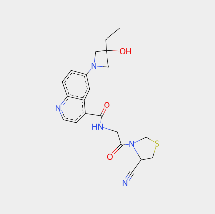 CCC1(O)CN(c2ccc3nccc(C(=O)NCC(=O)N4CSCC4C#N)c3c2)C1